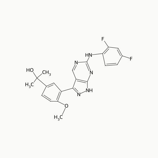 COc1ccc(C(C)(C)O)cc1-c1n[nH]c2nc(Nc3ccc(F)cc3F)ncc12